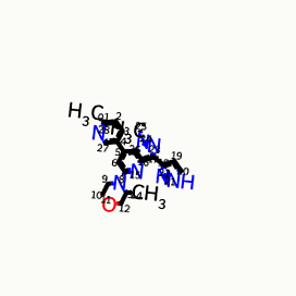 Cc1ccc(-c2cc(N3CCOCC3C)nc3c(-c4cc[nH]n4)nn(C)c23)cn1